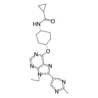 CCn1c(-c2cnc(C)nc2)nc2c(O[C@H]3CC[C@@H](NC(=O)C4CC4)CC3)ncnc21